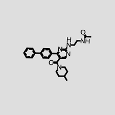 CC(=O)NCCNc1ncc(C(=O)N2CCC(C)CC2)c(-c2ccc(-c3ccccc3)cc2)n1